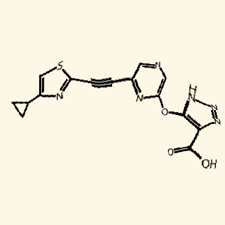 O=C(O)c1nn[nH]c1Oc1cncc(C#Cc2nc(C3CC3)cs2)n1